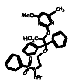 CCCN(CCOC(c1ccccc1)(c1ccccc1)C(Oc1nc(C)cc(OC)n1)C(=O)O)S(=O)(=O)c1ccccc1